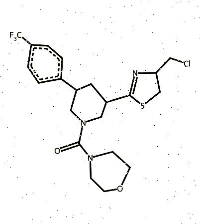 O=C(N1CCOCC1)N1CC(C2=NC(CCl)CS2)CC(c2ccc(C(F)(F)F)cc2)C1